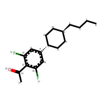 CCCC[C@H]1CC[C@H](c2cc(F)c(C(C)=O)c(F)c2)CC1